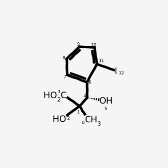 CC(O)(C(=O)O)[C@@H](O)c1ccccc1I